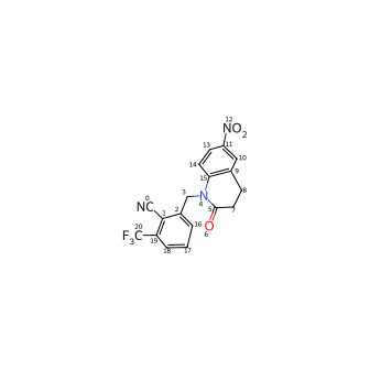 N#Cc1c(CN2C(=O)CCc3cc([N+](=O)[O-])ccc32)cccc1C(F)(F)F